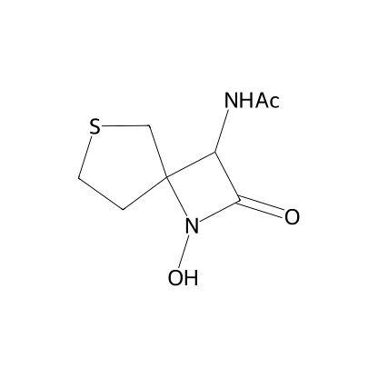 CC(=O)NC1C(=O)N(O)C12CCSC2